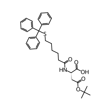 CC(C)(C)OC(=O)C[C@H](NC(=O)CCCCCSC(c1ccccc1)(c1ccccc1)c1ccccc1)C(=O)O